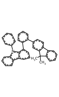 CC1(C)c2ccccc2-c2ccc(-c3ccccc3-c3cccc4c5ccccc5n(-c5ccccc5)c34)cc21